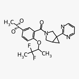 CC(Oc1ccc(S(C)(=O)=O)cc1C(=O)N1CC2CC2(c2ncccn2)C1)C(C)(F)F